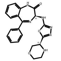 O=C1Nc2ccccc2C(c2ccccc2)=N[C@@H]1Nc1nnc([C@@H]2COCCN2)o1